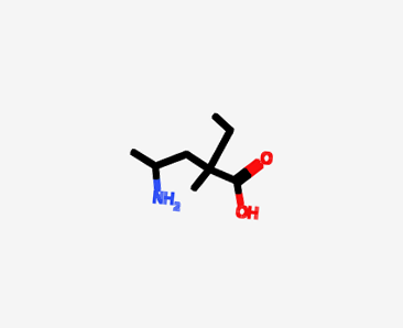 CCC(C)(CC(C)N)C(=O)O